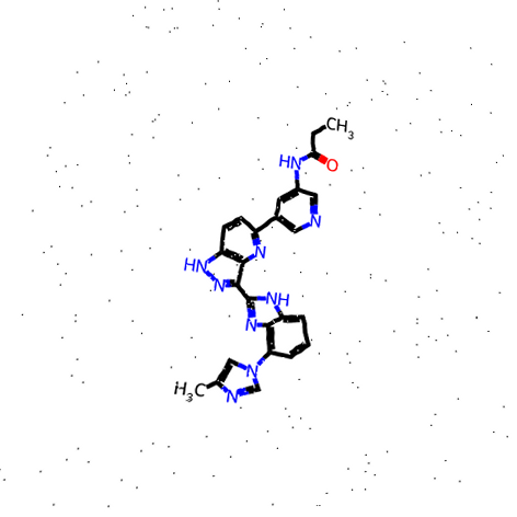 CCC(=O)Nc1cncc(-c2ccc3[nH]nc(-c4nc5c(-n6cnc(C)c6)cccc5[nH]4)c3n2)c1